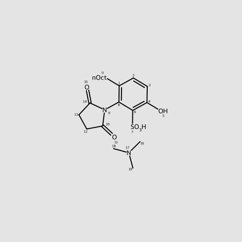 CCCCCCCCc1ccc(O)c(S(=O)(=O)O)c1N1C(=O)CCC1=O.CN(C)C